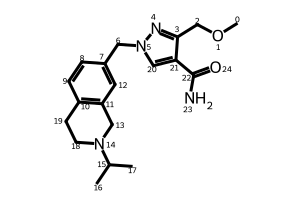 COCc1nn(Cc2ccc3c(c2)CN(C(C)C)CC3)cc1C(N)=O